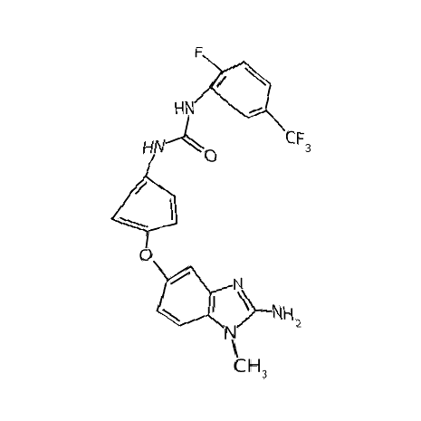 Cn1c(N)nc2cc(Oc3ccc(NC(=O)Nc4cc(C(F)(F)F)ccc4F)cc3)ccc21